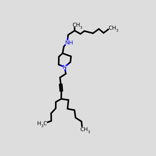 CCCCCCC(C)CNCC1CCN(CCC#CC(CCCCC)CCCCCC)CC1